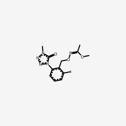 COC(C)=NOCc1c(I)cccc1-n1nnn(C)c1=O